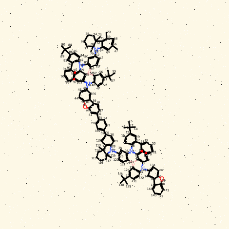 Cc1cc2c3c(c1)N(c1ccc(C(C)(C)C)cc1-c1ccccc1)c1cc(N4c5ccc(-c6ccc(-c7ccc8c(c7)oc7ccc(N9c%10ccc(C(C)(C)C)cc%10B%10c%11ccc(N%12c%13cc(C)cc(C)c%13C%13(C)CCCCC%12%13C)cc%11N(c%11ccc(C(C)(C)C)cc%11-c%11ccccc%11)c%11cc(C)cc9c%11%10)cc78)cc6)cc5C5(C)CCCCC45C)ccc1B3c1cc(C(C)(C)C)ccc1N2c1ccc2oc3ccccc3c2c1